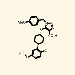 COc1ccc(Cn2nnc(C(=O)O)c2S[C@H]2CC[C@H](c3cc(OC(F)(F)F)ccc3Cl)CC2)cc1